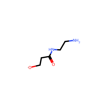 NCCNC(=O)CC[O]